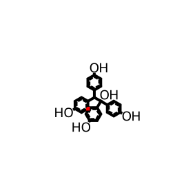 Oc1ccc(C(c2ccc(O)cc2)C(O)(c2ccc(O)cc2)c2ccc(O)cc2)cc1